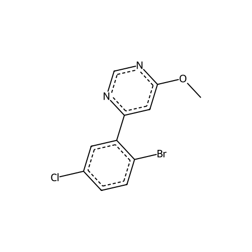 COc1cc(-c2cc(Cl)ccc2Br)ncn1